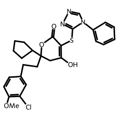 COc1ccc(CCC2(C3CCCC3)CC(O)=C(Sc3nncn3-c3ccccc3)C(=O)O2)cc1Cl